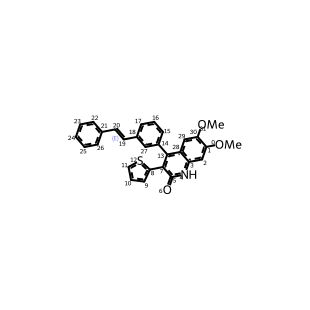 COc1cc2[nH]c(=O)c(-c3cccs3)c(-c3cccc(/C=C/c4ccccc4)c3)c2cc1OC